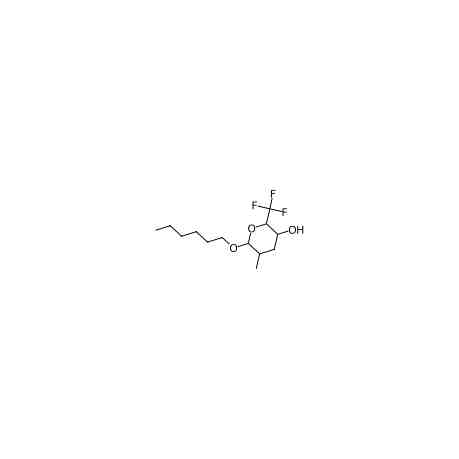 CCCCCCOC1OC(C(F)(F)F)C(O)CC1C